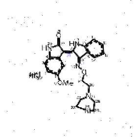 COc1ccc2c(c1)/C(=C1/Nc3ccccc3/C1=N\OCCN1CCNCC1)C(=O)N2.Cl.Cl